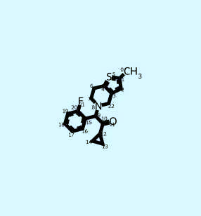 Cc1cc2c(s1)CCN(C(C(=O)C1CC1)c1ccccc1F)C2